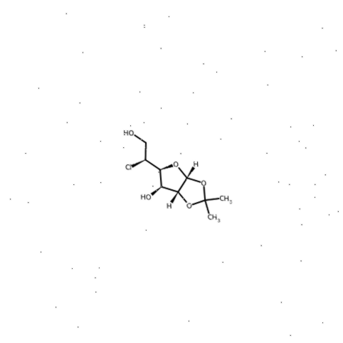 CC1(C)O[C@H]2O[C@H]([C@@H](Cl)CO)[C@H](O)[C@H]2O1